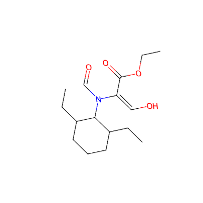 CCOC(=O)C(=CO)N(C=O)C1C(CC)CCCC1CC